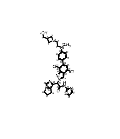 CN(CCN1CC(CO)C1)c1ccc(-c2cc(Cl)c3cn(C(C(=O)Nc4nccs4)c4ncn5c4CCC5)nc3c2Cl)cc1